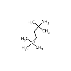 CC(C)(N)CC[N+](C)(C)C